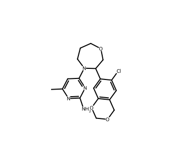 Cc1cc(N2CCCOCC2c2cc3c(cc2Cl)COCO3)nc(N)n1